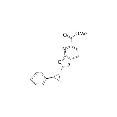 COC(=O)c1ccc2cc([C@@H]3C[C@H]3c3ccccc3)oc2n1